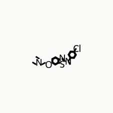 CCN(CC)CCOc1ccc2nc(N(C)c3ccc(Cl)cc3)sc2c1